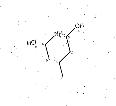 CCCCO.CCN.Cl